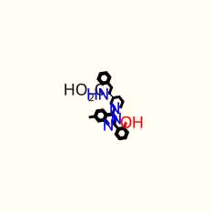 Cc1ccc2c(N3CCC[C@H](C(Cc4ccccc4)NC(=O)O)C3)nc(-c3ccccc3O)nc2c1